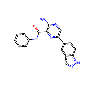 Nc1ncc(-c2ccc3[nH]ncc3c2)nc1C(=O)Nc1ccccc1